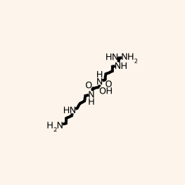 N=C(N)NCCCC(=O)NC(O)C(=O)NCCCCNCCCN